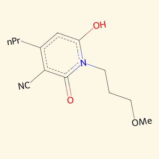 CCCc1cc(O)n(CCCOC)c(=O)c1C#N